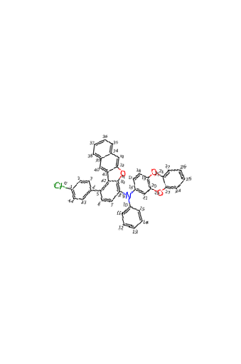 Clc1ccc(-c2ccc(N(c3ccccc3)c3ccc4c(c3)Oc3ccccc3O4)c3oc4cc5ccccc5cc4c23)cc1